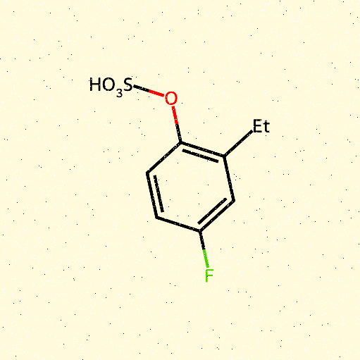 CCc1cc(F)ccc1OS(=O)(=O)O